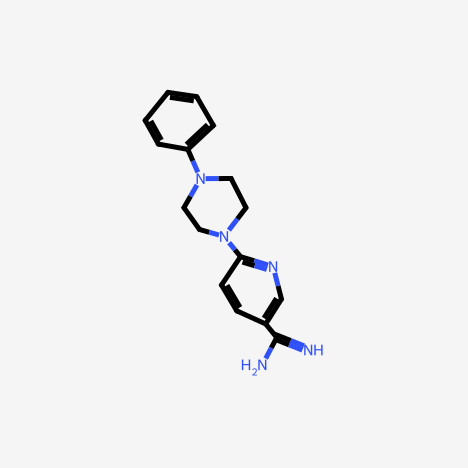 N=C(N)c1ccc(N2CCN(c3ccccc3)CC2)nc1